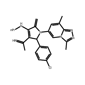 C=C1C(NCCC)=C(C(C)=N)C(c2ccc(Cl)cc2)N1c1cc(C)c2nnc(C)n2c1